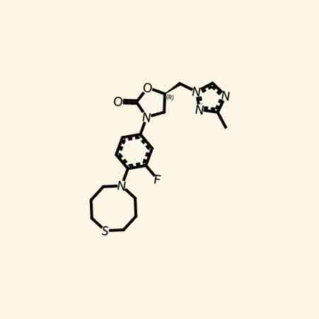 Cc1ncn(C[C@H]2CN(c3ccc(N4CCCSCCC4)c(F)c3)C(=O)O2)n1